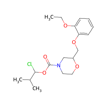 CCOc1ccccc1OCC1CN(C(=O)OC(Cl)C(C)C)CCO1